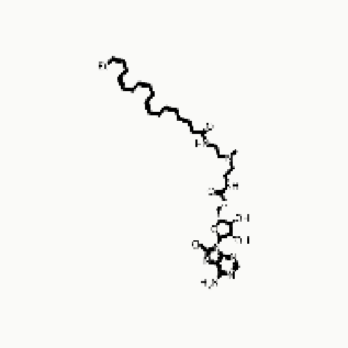 CC/C=C\C/C=C\C/C=C\C/C=C\C/C=C\CCCC(=O)NCCN(C)CCNC(=O)OC[C@H]1OC(n2c(Cl)nc3c(N)ncnc32)[C@H](O)[C@@H]1O